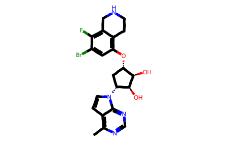 Cc1ncnc2c1ccn2[C@@H]1C[C@H](Oc2cc(Br)c(F)c3c2CCNC3)[C@@H](O)[C@H]1O